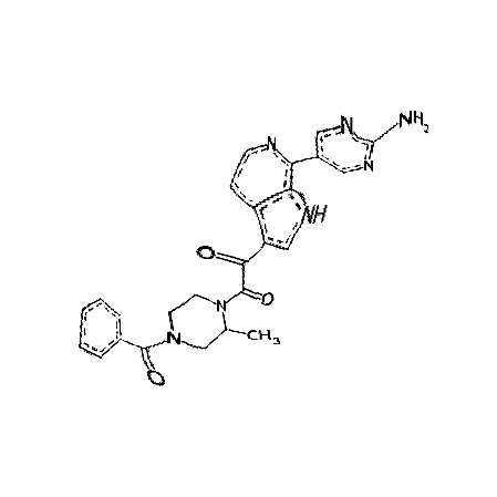 CC1CN(C(=O)c2ccccc2)CCN1C(=O)C(=O)c1c[nH]c2c(-c3cnc(N)nc3)nccc12